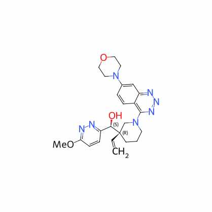 C=C[C@]1([C@H](O)c2ccc(OC)nn2)CCCN(c2nnnc3cc(N4CCOCC4)ccc23)C1